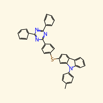 Cc1ccc(-n2c3ccccc3c3ccc(Sc4ccc(-c5nc(-c6ccccc6)nc(-c6ccccc6)n5)cc4)cc32)cc1